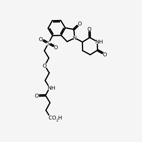 O=C(O)CCC(=O)NCCOCCS(=O)(=O)c1cccc2c1CN(C1CCC(=O)NC1=O)C2=O